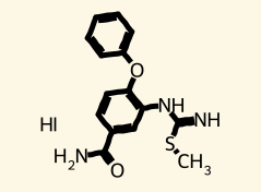 CSC(=N)Nc1cc(C(N)=O)ccc1Oc1ccccc1.I